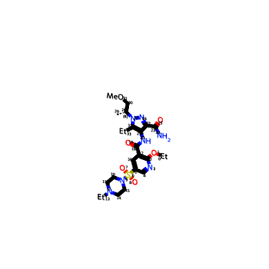 CCOc1ncc(S(=O)(=O)N2CCN(CC)CC2)cc1C(=O)Nc1c(C(N)=O)nn([C@H](C)COC)c1CC